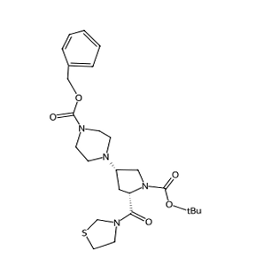 CC(C)(C)OC(=O)N1C[C@@H](N2CCN(C(=O)OCc3ccccc3)CC2)C[C@H]1C(=O)N1CCSC1